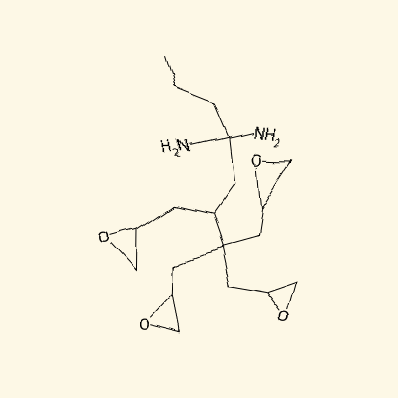 CCCC(N)(N)CC(CC1CO1)C(CC1CO1)(CC1CO1)CC1CO1